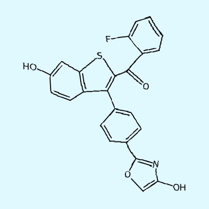 O=C(c1ccccc1F)c1sc2cc(O)ccc2c1-c1ccc(-c2nc(O)co2)cc1